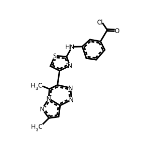 Cc1cc2nnc(-c3csc(Nc4cccc(C(=O)Cl)c4)n3)c(C)n2n1